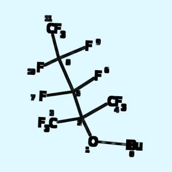 CCC(C)OC(C(F)(F)F)(C(F)(F)F)C(F)(F)C(F)(F)C(F)(F)F